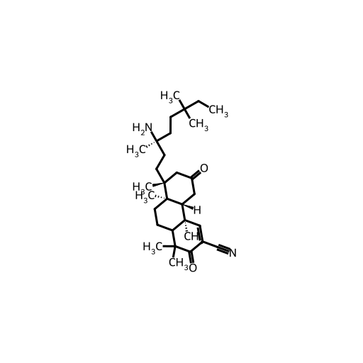 CCC(C)(C)CC[C@](C)(N)CC[C@]1(C)CC(=O)C[C@@H]2[C@@]3(C)C=C(C#N)C(=O)C(C)(C)C3CC[C@]21C